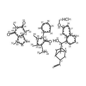 C=CC1CN2CCC1CC2C(O)c1ccnc2ccc(OC)cc12.Cc1c(N(C)C)c(=O)n(-c2ccccc2)n1C.Cl.Cn1c(=O)c2c(ncn2C)n(C)c1=O